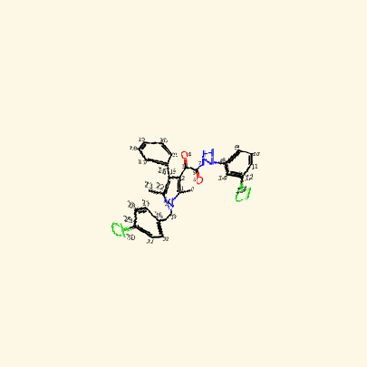 Cc1c(C(=O)C(=O)Nc2cccc(Cl)c2)c(-c2ccccc2)c(C)n1Cc1ccc(Cl)cc1